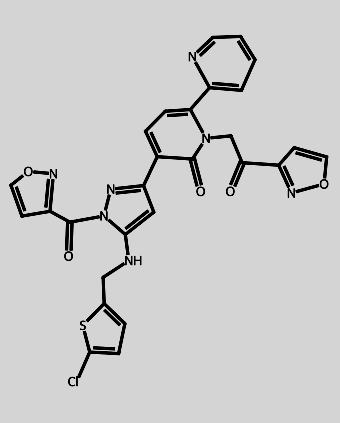 O=C(Cn1c(-c2ccccn2)ccc(-c2cc(NCc3ccc(Cl)s3)n(C(=O)c3ccon3)n2)c1=O)c1ccon1